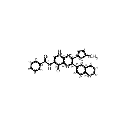 Cc1ccc(-c2nc3[nH]cc(NC(=O)c4ccccc4)c(=O)c3nc2-c2ccc3ncccc3c2)s1